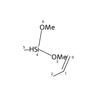 C=CC.CO[SiH](C)OC